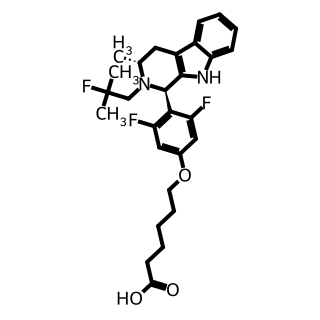 C[C@@H]1Cc2c([nH]c3ccccc23)[C@@H](c2c(F)cc(OCCCCCC(=O)O)cc2F)N1CC(C)(C)F